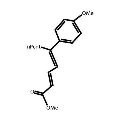 CCCCCC(=CC=CC(=O)OC)c1ccc(OC)cc1